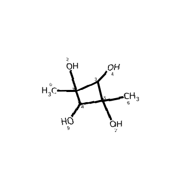 CC1(O)C(O)C(C)(O)C1O